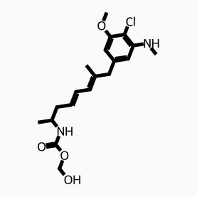 CNc1cc(C/C(C)=C/C=C/CC(C)NC(=O)OCO)cc(OC)c1Cl